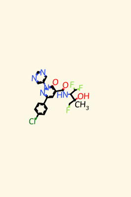 CC(O)(CF)[C@@H](NC(=O)c1cc(-c2ccc(Cl)cc2)nn(-c2cncnc2)c1=O)C(F)F